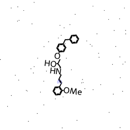 COc1ccccc1/C=C/CNCC(O)COc1ccc(Cc2ccccc2)cc1